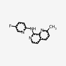 Cc1ccc2ccnc(Nc3ccc(F)cn3)c2n1